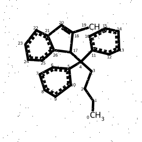 CCCCC(c1ccccc1)(c1ccccc1)C1C(C)=Cc2ccccc21